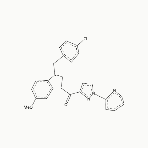 COc1ccc2c(c1)C(C(=O)c1ccn(-c3ccccn3)n1)CN2Cc1ccc(Cl)cc1